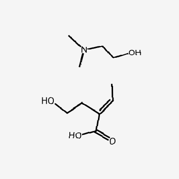 C/C=C(\CCO)C(=O)O.CN(C)CCO